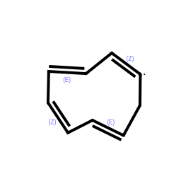 [C]1=C/C=C/C=C\C=C\C\1